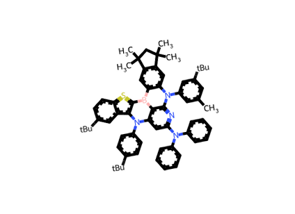 Cc1cc(N2c3cc4c(cc3B3c5sc6ccc(C(C)(C)C)cc6c5N(c5ccc(C(C)(C)C)cc5)c5cc(N(c6ccccc6)c6ccccc6)nc2c53)C(C)(C)CC4(C)C)cc(C(C)(C)C)c1